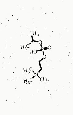 CC(C)OP(=O)(O)OCC[N+](C)(C)C